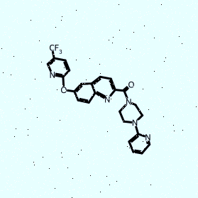 O=C(c1ccc2cc(Oc3ccc(C(F)(F)F)cn3)ccc2n1)N1CCN(c2ccccn2)CC1